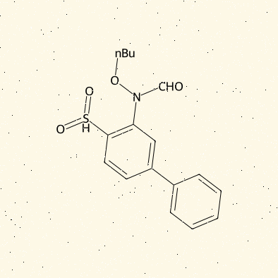 CCCCON(C=O)c1cc(-c2ccccc2)ccc1[SH](=O)=O